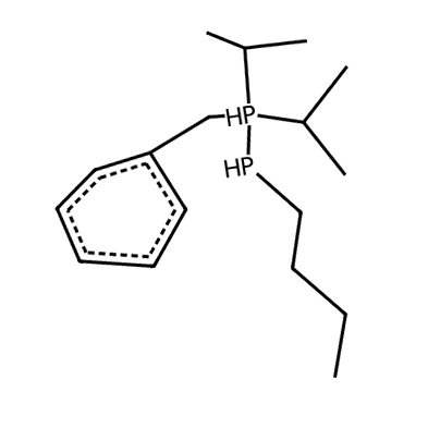 CCCCP[PH](Cc1ccccc1)(C(C)C)C(C)C